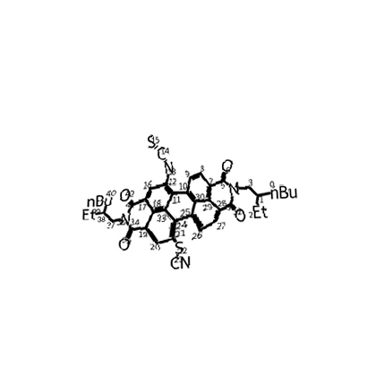 CCCCC(CC)CN1C(=O)c2ccc3c4c(N=C=S)cc5c6c(cc(SC#N)c(c7ccc(c2c37)C1=O)c64)C(=O)N(CC(CC)CCCC)C5=O